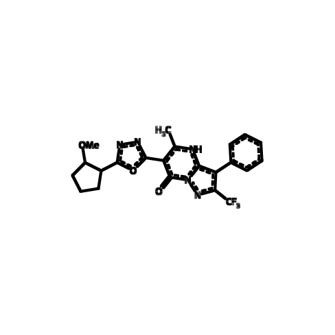 COC1CCCC1c1nnc(-c2c(C)[nH]c3c(-c4ccccc4)c(C(F)(F)F)nn3c2=O)o1